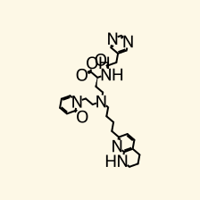 O=C(Cc1cncnc1)N[C@@H](CCN(CCCCc1ccc2c(n1)NCCC2)CCn1ccccc1=O)C(=O)O